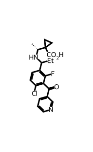 CCC(N[C@H](C)C1(C(=O)O)CC1)c1ccc(Cl)c(C(=O)c2cccnc2)c1F